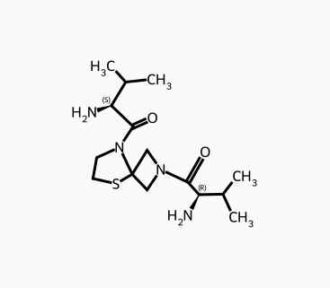 CC(C)[C@H](N)C(=O)N1CCSC12CN(C(=O)[C@H](N)C(C)C)C2